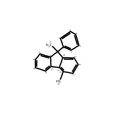 CC1(c2ccccc2)c2ccccc2-c2c(S)cccc21